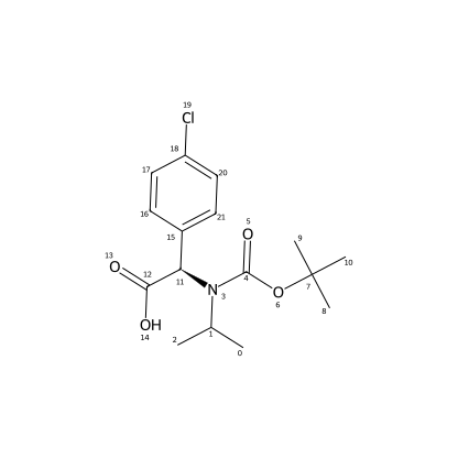 CC(C)N(C(=O)OC(C)(C)C)[C@@H](C(=O)O)c1ccc(Cl)cc1